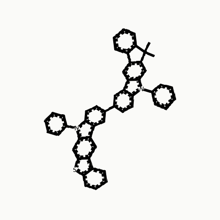 CC1(C)c2ccccc2-c2cc3c4cc(-c5ccc6c(c5)c5cc7c(cc5n6-c5ccccc5)sc5ccccc57)ccc4n(-c4ccccc4)c3cc21